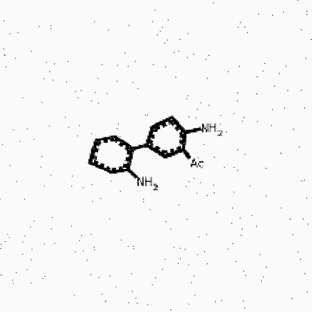 CC(=O)c1cc(-c2ccccc2N)ccc1N